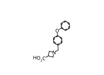 O=C(O)C1CN(Cc2ccc(Oc3ccccc3)cc2)C1